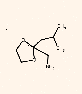 CC(C)CC1(CN)OCCO1